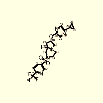 O=S(=O)(c1ccc(C(F)(F)F)nc1)N1CCN2C[C@H](Oc3cnc(C4CC4)cn3)C[C@H]2C1